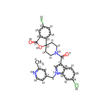 Cc1cc(Cn2cc(C(=O)N3CCC4(CC3)OC(=O)c3cc(F)ccc34)c3ccc(Cl)cc32)ccn1